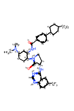 CCOC(=O)C1CCC(c2ccc(C(=O)N[C@@H]3C[C@H](N(C)C(C)C)CC[C@@H]3N3CC[C@H](Nc4ncnc5ccc(C(F)(F)F)cc45)C3=O)cc2)CC1